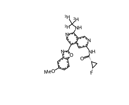 [2H]C([2H])([2H])Nc1ncc(-c2nc3cc(OC)ccc3o2)c2cc(NC(=O)[C@@H]3C[C@@H]3F)ncc12